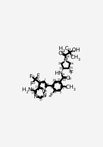 Cc1cc(F)c(-c2cc(C(F)(F)F)c3c(N)ncnn23)cc1C(=O)N[C@@H]1CN(C(=O)C(C)(C)O)C[C@@H]1F